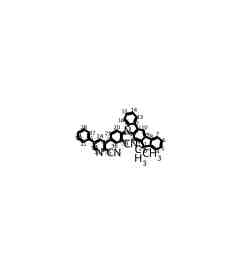 CC1(C)c2ccccc2-c2cc3c4ccccc4n(-c4ccc(-c5cc(-c6ccccc6)cnc5C#N)cc4C#N)c3cc21